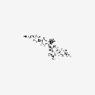 CCN(CC)Cc1cc(NC(=O)c2ccc(N3CCC(C(=O)O)CC3)cc2)ncc1-c1ccc(C(F)(F)F)cc1.Cl.Cl